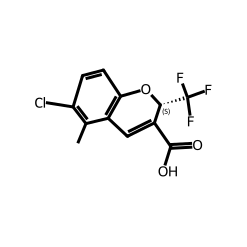 Cc1c(Cl)ccc2c1C=C(C(=O)O)[C@@H](C(F)(F)F)O2